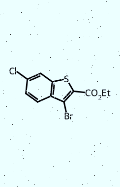 CCOC(=O)c1sc2cc(Cl)ccc2c1Br